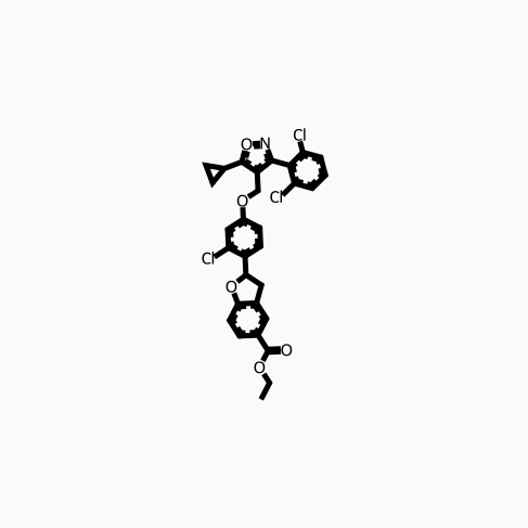 CCOC(=O)c1ccc2c(c1)CC(c1ccc(OCc3c(-c4c(Cl)cccc4Cl)noc3C3CC3)cc1Cl)O2